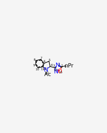 CCCc1nc(C2Cc3ccccc3N2C(C)=O)no1